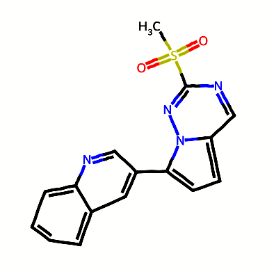 CS(=O)(=O)c1ncc2ccc(-c3cnc4ccccc4c3)n2n1